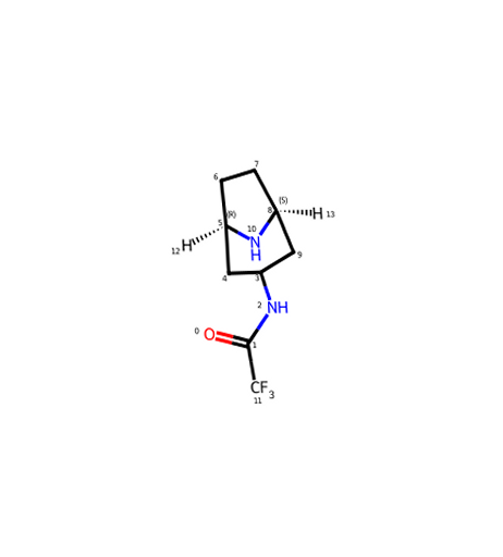 O=C(NC1C[C@H]2CC[C@@H](C1)N2)C(F)(F)F